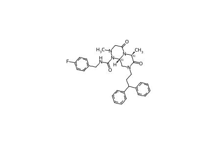 C[C@H]1C(=O)N(CCC(c2ccccc2)c2ccccc2)C[C@H]2N1C(=O)CN(C)N2C(=O)NCc1ccc(F)cc1